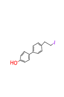 Oc1ccc(-c2ccc(CCI)cc2)cc1